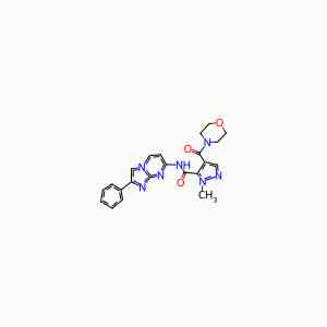 Cn1ncc(C(=O)N2CCOCC2)c1C(=O)Nc1ccn2cc(-c3ccccc3)nc2n1